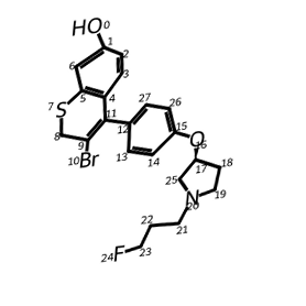 Oc1ccc2c(c1)SCC(Br)=C2c1ccc(O[C@H]2CCN(CCCF)C2)cc1